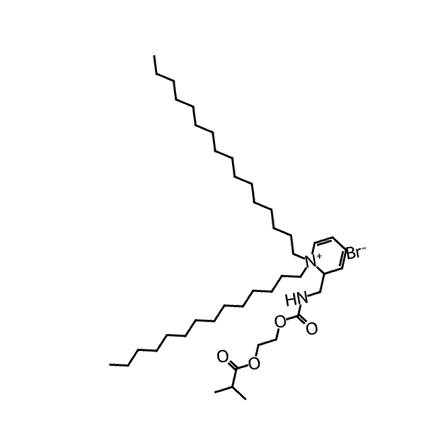 CCCCCCCCCCCCCCCC[N+]1(CCCCCCCCCCCCCC)C=CC=CC1CNC(=O)OCCOC(=O)C(C)C.[Br-]